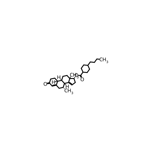 CCCCC1CCC(C(=O)O[C@H]2CC=C3[C@H]4[C@H](CC[C@@]32C)[C@H]2CCC(=O)C=C2C[C@H]4C)CC1